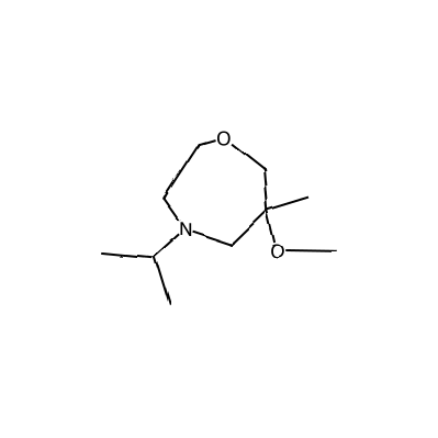 COC1(C)COCCN(C(C)C)C1